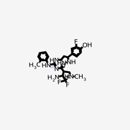 CNCC(C(=O)/N=C(/Nc1ccccc1C)NC1CC(c2ccc(O)c(F)c2)NN1)C(N)C(F)(F)F